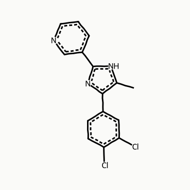 Cc1[nH]c(-c2cccnc2)nc1-c1ccc(Cl)c(Cl)c1